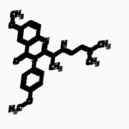 COc1ccc(-n2c(C(C)NCCN(C)C)nc3ccc(OC)cc3c2=O)cc1